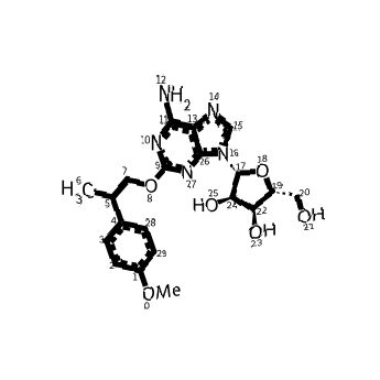 COc1ccc(C(C)COc2nc(N)c3ncn([C@@H]4O[C@H](CO)[C@@H](O)[C@H]4O)c3n2)cc1